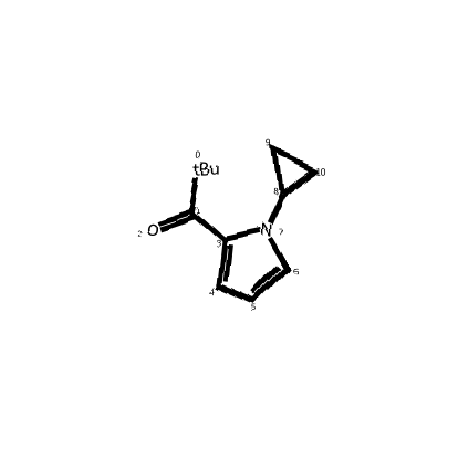 CC(C)(C)C(=O)c1cccn1C1CC1